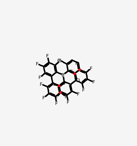 Fc1c(F)c(F)c(-c2c(F)c(F)c(F)c(F)c2B(c2c(Cl)cccc2Cl)c2c(F)c(F)c(F)c(F)c2-c2c(F)c(F)c(F)c(F)c2F)c(F)c1F